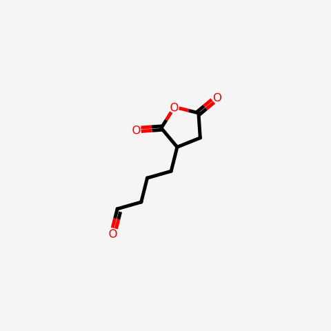 O=CCCCC1CC(=O)OC1=O